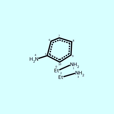 CCN.CCN.Nc1ccccc1